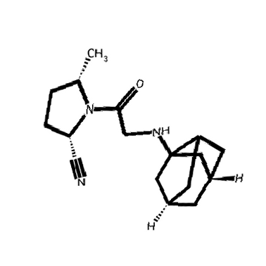 C[C@H]1CC[C@@H](C#N)N1C(=O)CNC12C[C@@H]3CC1C[C@@H](C3)C2